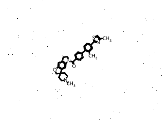 Cc1csc(-c2ccc(-c3ccc(C(=O)N4CCc5cc6c(cc54)C4(CCN(C)CC4)CO6)cc3)c(C)c2)n1